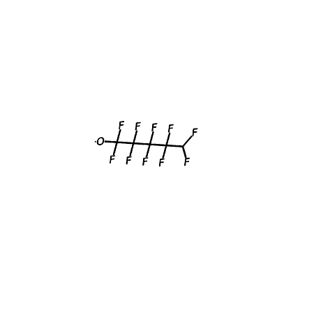 [O]C(F)(F)C(F)(F)C(F)(F)C(F)(F)C(F)F